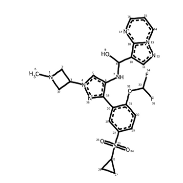 CN1CC(n2cc(NC(O)c3cnn4cccnc34)c(-c3cc(S(=O)(=O)C4CC4)ccc3OC(F)F)n2)C1